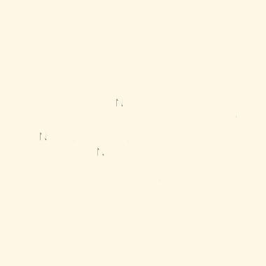 Cn1c(-c2cccc(Cl)c2)nc2cc[c]nc21